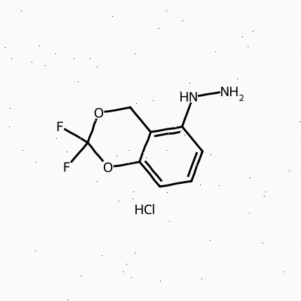 Cl.NNc1cccc2c1COC(F)(F)O2